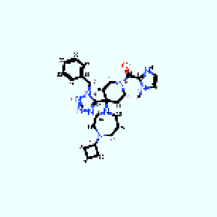 Cn1ccnc1C(=O)N1CCC(c2nnnn2Cc2ccccc2)(N2CCCN(C3CCC3)CC2)CC1